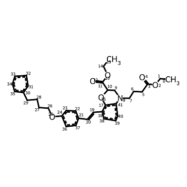 CCOC(=O)CCCN1CC(C(=O)OCC)Oc2c(C=Cc3ccc(OCCCCc4ccccc4)cc3)cccc21